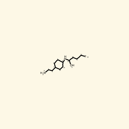 NCCC1CCC(NC(O)CCCF)CC1